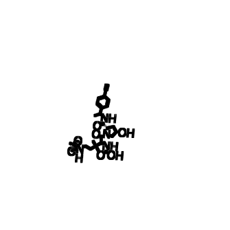 C#Cc1ccc(C(C)NC(=O)[C@@H]2C[C@@H](O)CN2C(=O)C(NC(=O)O)C(C)(C)CCNS(C)(=O)=O)cc1